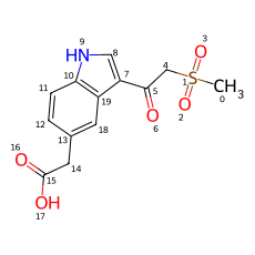 CS(=O)(=O)CC(=O)c1c[nH]c2ccc(CC(=O)O)cc12